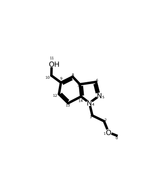 COCCn1ncc2cc(CO)ccc21